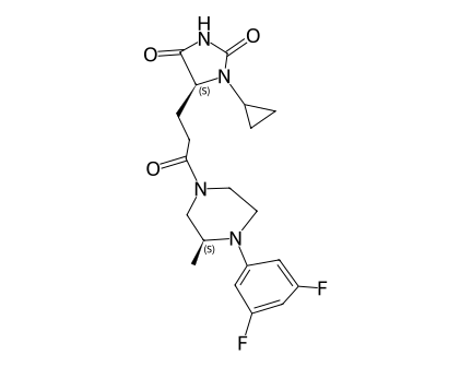 C[C@H]1CN(C(=O)CC[C@H]2C(=O)NC(=O)N2C2CC2)CCN1c1cc(F)cc(F)c1